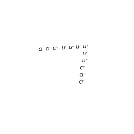 [Cl-].[Cl-].[Cl-].[Cl-].[Cl-].[Cl-].[Li+].[Li+].[Li+].[Li+].[Li+].[Li+]